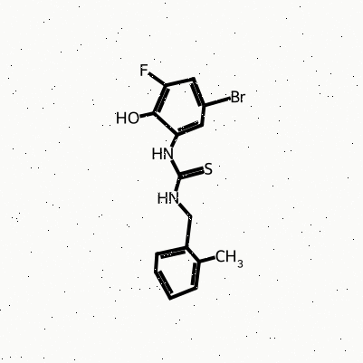 Cc1ccccc1CNC(=S)Nc1cc(Br)cc(F)c1O